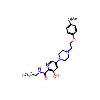 COc1ccc(OCCN2CCN(c3cnc(C(=O)NCC(=O)O)c(O)c3)CC2)cc1